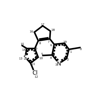 Cc1cnc(C)c(C2=C(c3cc(Cl)sc3C)CCC2)c1